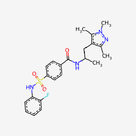 Cc1nn(C)c(C)c1CC(C)NC(=O)c1ccc(S(=O)(=O)Nc2ccccc2F)cc1